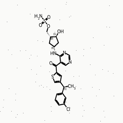 C[C@@H](c1cccc(Cl)c1)c1csc(C(=O)c2cncnc2N[C@@H]2C[C@H](COS(N)(=O)=O)[C@@H](O)C2)c1